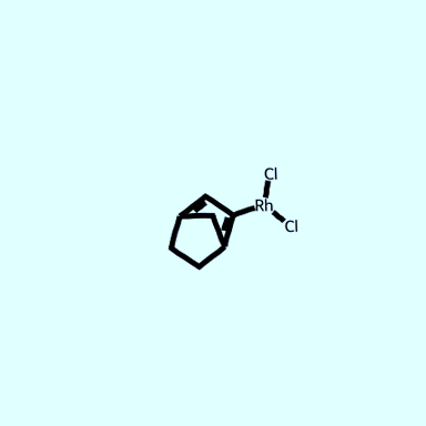 [Cl][Rh]([Cl])[C]1=C2CCC(=C1)C2